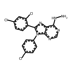 NNc1ncnc2c1nc(-c1ccc(Cl)cc1Cl)n2-c1ccc(Cl)cc1